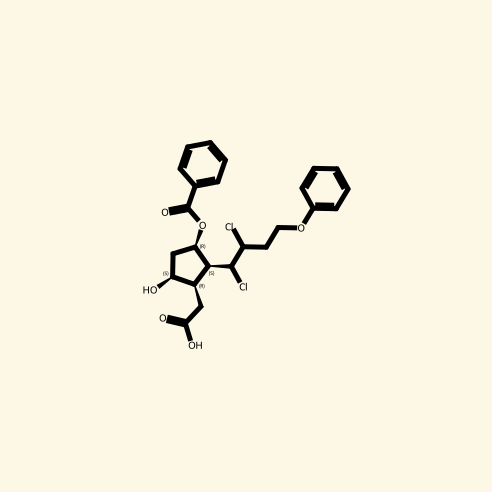 O=C(O)C[C@@H]1[C@H](C(Cl)C(Cl)CCOc2ccccc2)[C@H](OC(=O)c2ccccc2)C[C@@H]1O